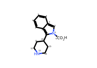 O=C(O)n1cc2ccccc2c1C1CCNCC1